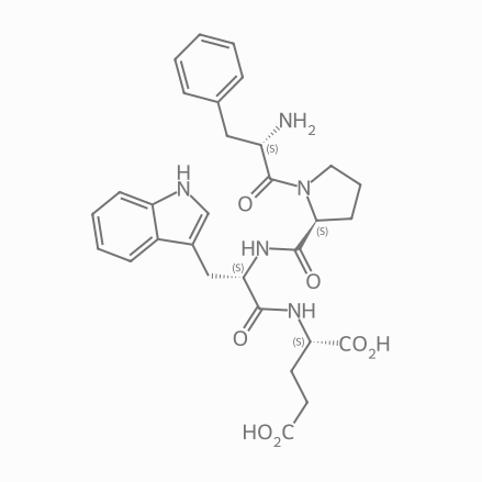 N[C@@H](Cc1ccccc1)C(=O)N1CCC[C@H]1C(=O)N[C@@H](Cc1c[nH]c2ccccc12)C(=O)N[C@@H](CCC(=O)O)C(=O)O